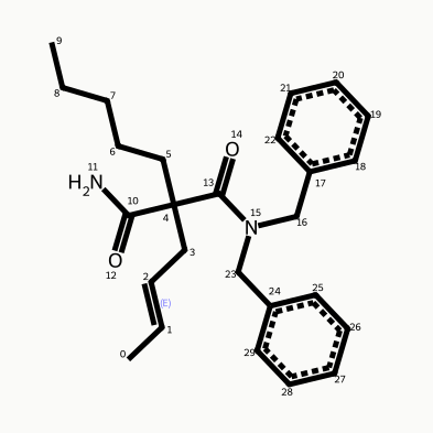 C/C=C/CC(CCCCC)(C(N)=O)C(=O)N(Cc1ccccc1)Cc1ccccc1